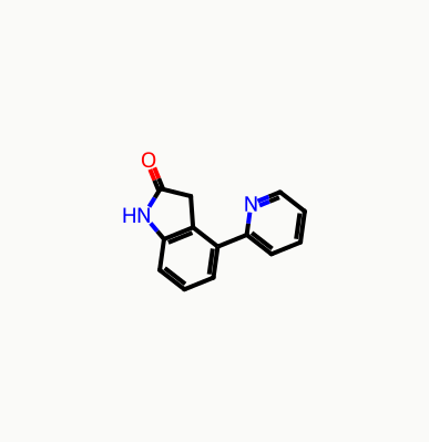 O=C1Cc2c(cccc2-c2ccccn2)N1